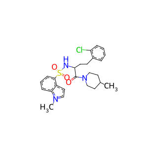 CC1CCN(C(=O)C(CCc2ccccc2Cl)NS(=O)(=O)c2cccc3c2ccn3C)CC1